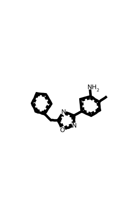 Cc1ccc(-c2noc(Cc3ccccc3)n2)cc1N